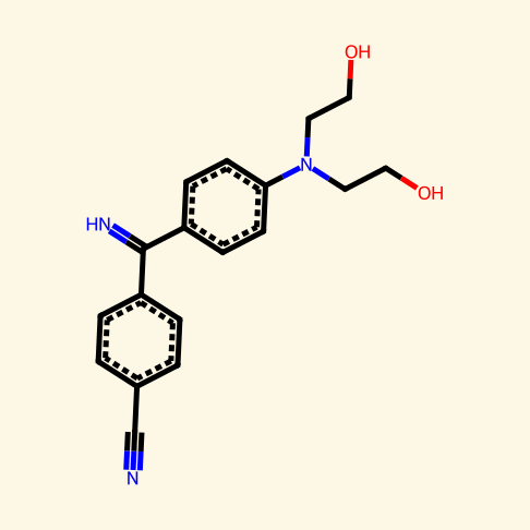 N#Cc1ccc(C(=N)c2ccc(N(CCO)CCO)cc2)cc1